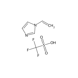 C=Cn1ccnc1.O=S(=O)(O)C(F)(F)F